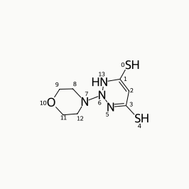 SC1=CC(S)=NN(N2CCOCC2)N1